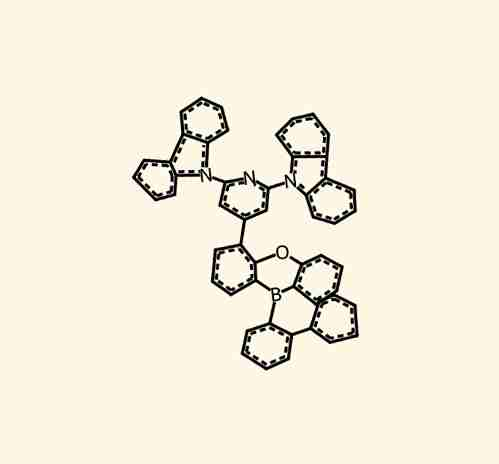 c1ccc(-c2ccccc2B2c3ccccc3Oc3c2cccc3-c2cc(-n3c4ccccc4c4ccccc43)nc(-n3c4ccccc4c4ccccc43)c2)cc1